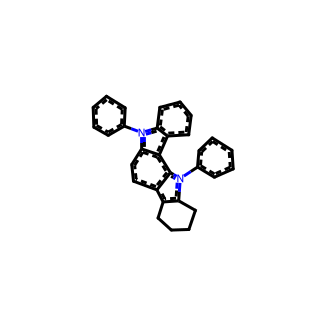 c1ccc(-n2c3c(c4ccc5c(c6ccccc6n5-c5ccccc5)c42)CCCC3)cc1